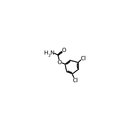 NC(=O)Oc1cc(Cl)cc(Cl)c1